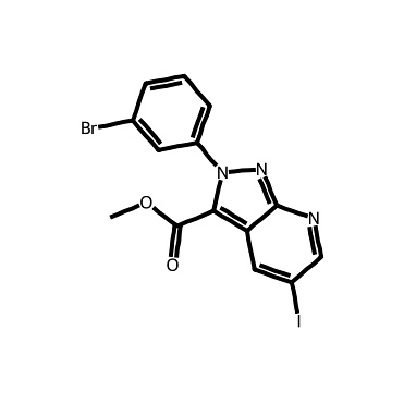 COC(=O)c1c2cc(I)cnc2nn1-c1cccc(Br)c1